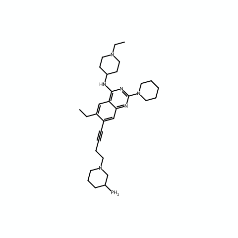 CCc1cc2c(NC3CCN(CC)CC3)nc(N3CCCCC3)nc2cc1C#CCCN1CCCC(P)C1